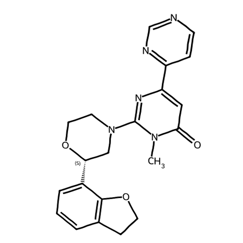 Cn1c(N2CCO[C@@H](c3cccc4c3OCC4)C2)nc(-c2ccncn2)cc1=O